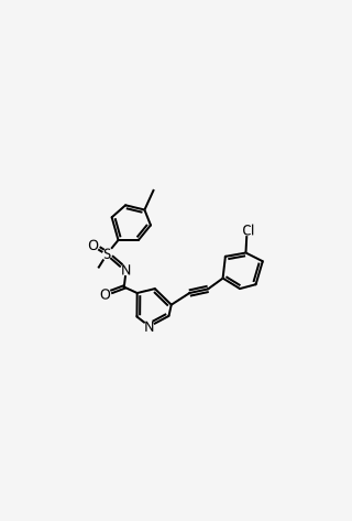 Cc1ccc(S(C)(=O)=NC(=O)c2cncc(C#Cc3cccc(Cl)c3)c2)cc1